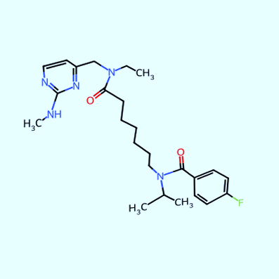 CCN(Cc1ccnc(NC)n1)C(=O)CCCCCCN(C(=O)c1ccc(F)cc1)C(C)C